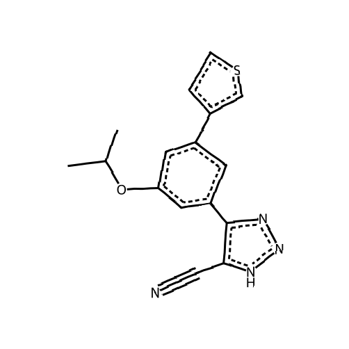 CC(C)Oc1cc(-c2ccsc2)cc(-c2nn[nH]c2C#N)c1